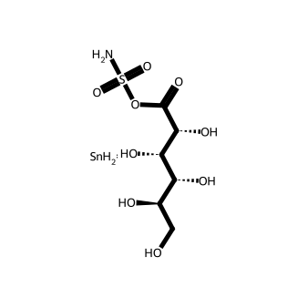 NS(=O)(=O)OC(=O)[C@H](O)[C@@H](O)[C@H](O)[C@H](O)CO.[SnH2]